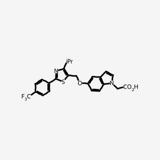 CC(C)c1nc(-c2ccc(C(F)(F)F)cc2)sc1COc1ccc2c(ccn2CC(=O)O)c1